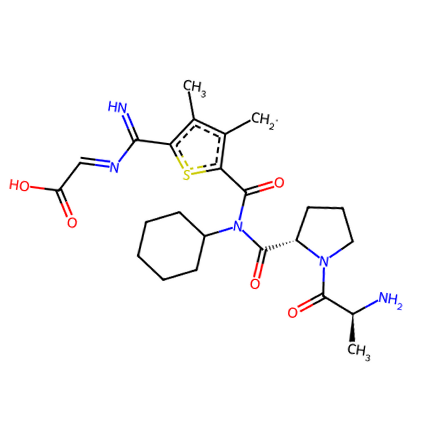 [CH2]c1c(C(=O)N(C(=O)[C@@H]2CCCN2C(=O)[C@H](C)N)C2CCCCC2)sc(C(=N)N=CC(=O)O)c1C